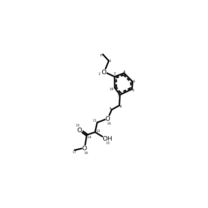 CCOc1cccc(CCOCC(O)C(=O)OC)c1